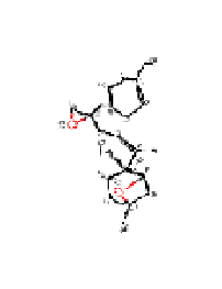 CC1=CC[C@@H](C2(C/C=C(/C)[C@H]3CCC4(C)CC3O4)CO2)CC1